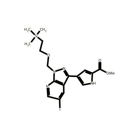 COC(=O)c1cc(-c2nn(COCC[Si](C)(C)C)c3ncc(I)cc23)c[nH]1